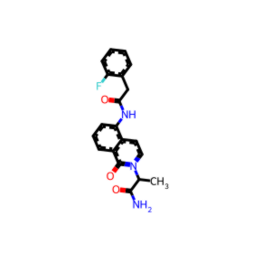 CC(C(N)=O)n1ccc2c(NC(=O)Cc3ccccc3F)cccc2c1=O